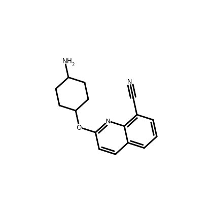 N#Cc1cccc2ccc(OC3CCC(N)CC3)nc12